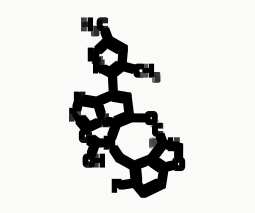 Cc1cc(C)c(-c2cc3c(n4cnnc24)N(C(=O)O)Cc2c(F)ccc4c2[C@@H](CO4)CO3)nn1